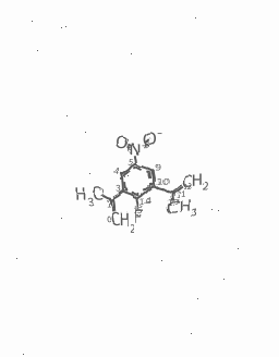 C=C(C)c1cc([N+](=O)[O-])cc(C(=C)C)c1F